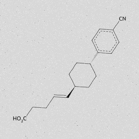 N#Cc1ccc([C@H]2CC[C@H](C=CCCC(=O)O)CC2)cc1